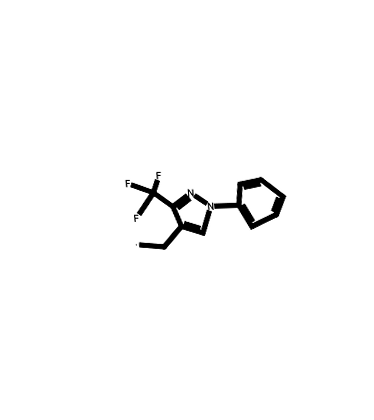 [CH2]Cc1cn(-c2ccccc2)nc1C(F)(F)F